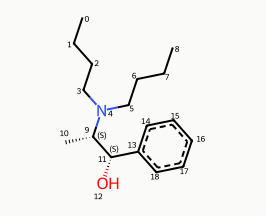 CCCCN(CCCC)[C@@H](C)[C@@H](O)c1ccccc1